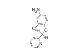 [2H]C([2H])(Oc1ccc(N)cc1Cl)c1ccccn1